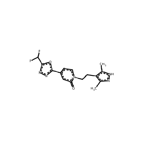 Cc1n[nH]c(C)c1CCn1ccc(-c2nnc(C(F)F)o2)cc1=O